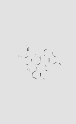 CN(C)C(=O)C[C@H](Nc1nc(N)nc(N)c1C#N)c1nc2cccc(Cl)c2c(=O)n1-c1cc(F)cc(F)c1